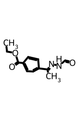 CCOC(=O)c1ccc(C(C)=NNC=O)cc1